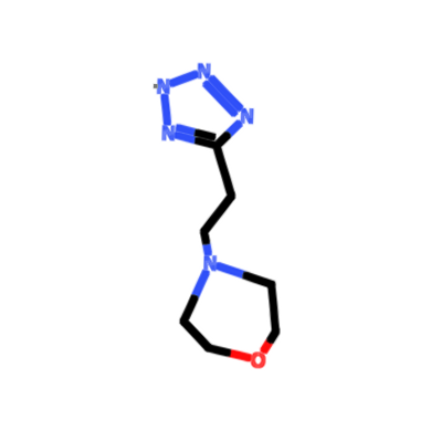 C1CN(CCC2=N[N]N=N2)CCO1